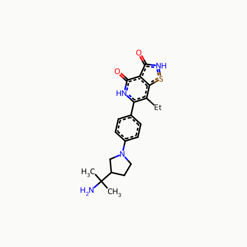 CCc1c(-c2ccc(N3CCC(C(C)(C)N)C3)cc2)[nH]c(=O)c2c(=O)[nH]sc12